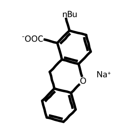 CCCCc1ccc2c(c1C(=O)[O-])Cc1ccccc1O2.[Na+]